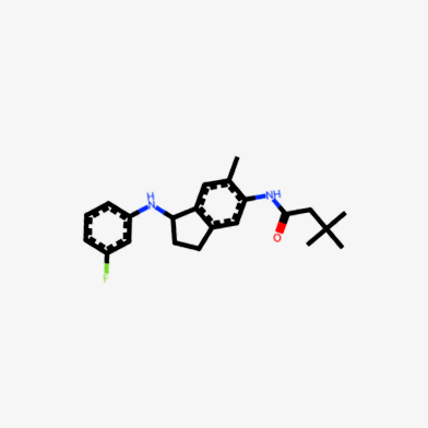 Cc1cc2c(cc1NC(=O)CC(C)(C)C)CCC2Nc1cccc(F)c1